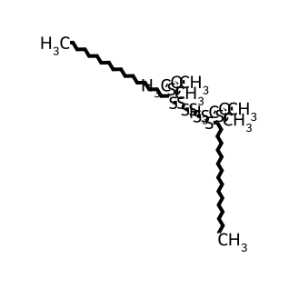 CCCCCCCCCCCCCCCCCC(SSSSSSSC(CCCCCCCCCCCCCCCCC)[Si](C)(C)OC)[Si](C)(C)OC